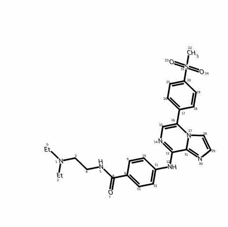 CCN(CC)CCNC(=O)c1ccc(Nc2ncc(-c3ccc(S(C)(=O)=O)cc3)n3ccnc23)cc1